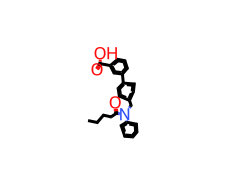 CCCCC(=O)N(Cc1ccc(-c2cccc(C(=O)O)c2)cc1)c1ccccc1